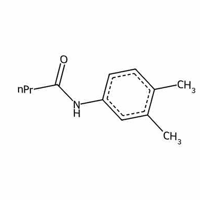 CCCC(=O)Nc1ccc(C)c(C)c1